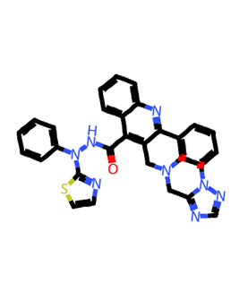 O=C(NN(c1ccccc1)c1nccs1)c1c(CN2CCn3ncnc3C2)c(-c2ccccc2)nc2ccccc12